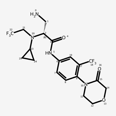 NC[C@H](C(=O)Nc1ccc(N2CCOCC2=O)c(C(F)(F)F)c1)N(CC(F)(F)F)C1CC1